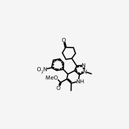 COC(=O)C1=C(C)Nc2c(c(C3CCC(=O)CC3)nn2C)C1c1cccc([N+](=O)[O-])c1